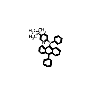 C[Si](C)(C)c1ccc(N(c2ccccc2)c2c3ccccc3c(-c3ccccc3)c3ccccc23)nc1